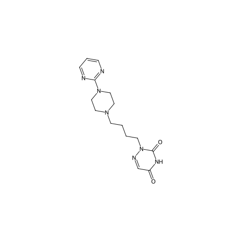 O=c1cnn(CCCCN2CCN(c3ncccn3)CC2)c(=O)[nH]1